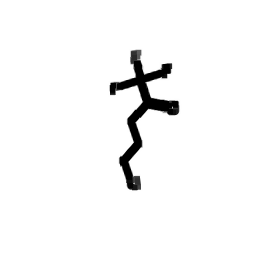 O=C(CCCCl)C(F)(F)F